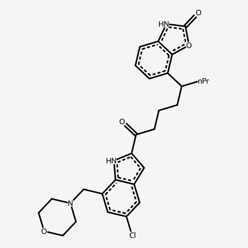 CCCC(CCCC(=O)c1cc2cc(Cl)cc(CN3CCOCC3)c2[nH]1)c1cccc2[nH]c(=O)oc12